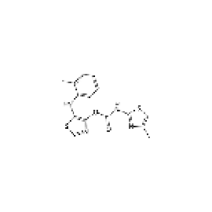 Cc1csc(NC(=O)Oc2ncsc2Nc2ccccc2C)n1